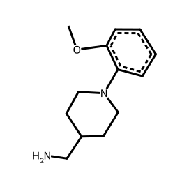 COc1ccccc1N1CCC(CN)CC1